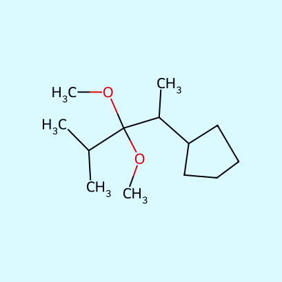 COC(OC)(C(C)C)C(C)C1CCCC1